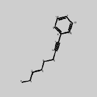 CCCCCCC#Cc1ccccc1